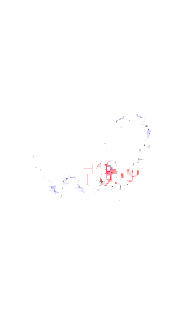 CCCCC/C=C\C/C=C\C/C=C\CCCCCOOCC(C)C(CCCC/C=C\C/C=C\C/C=C\CCCCC)OP(=O)(O)O